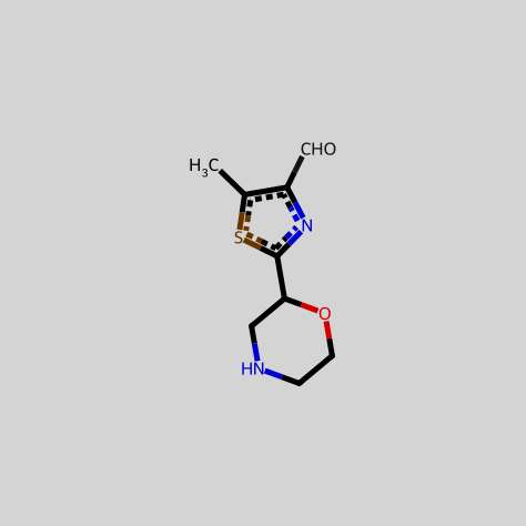 Cc1sc(C2CNCCO2)nc1C=O